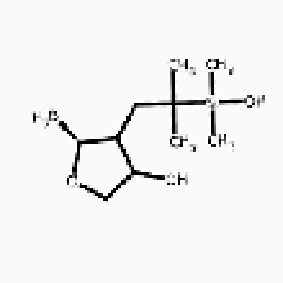 B[C@@H]1OCC(O)C1CC(C)(C)[Si](C)(C)O